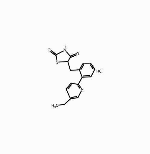 CCc1ccc(-c2ccccc2CC2SC(=O)NC2=O)nc1.Cl